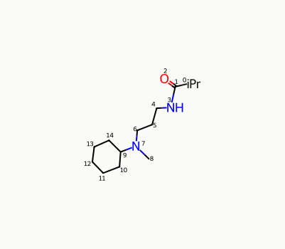 CC(C)C(=O)NCCCN(C)C1CCCCC1